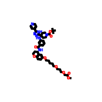 COC(=O)COCCCOCCCCCOc1ccc2c(c1)[C@H](NC(=O)c1cccc(NC3(c4nnc(-c5ccncc5)[nH]4)CCN(C(=O)OC(C)(C)C)CC3)c1)CCO2